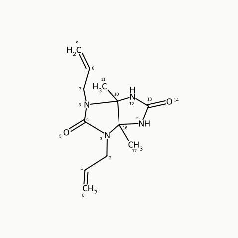 C=CCN1C(=O)N(CC=C)C2(C)NC(=O)NC12C